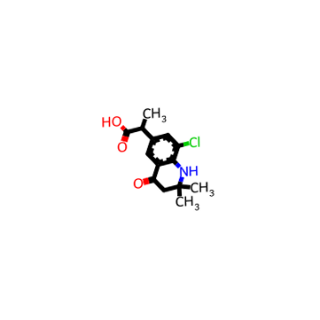 CC(C(=O)O)c1cc(Cl)c2c(c1)C(=O)CC(C)(C)N2